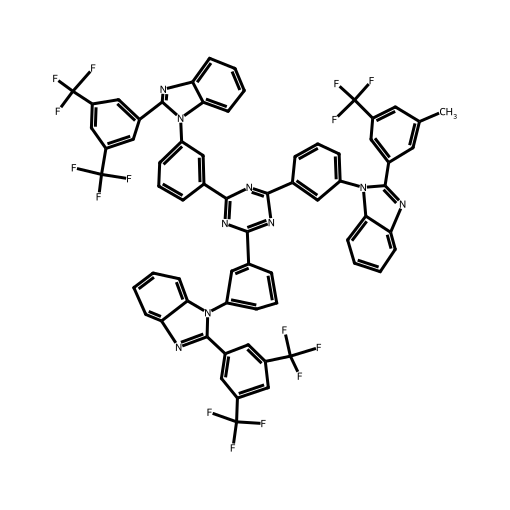 Cc1cc(-c2nc3ccccc3n2-c2cccc(-c3nc(-c4cccc(-n5c(-c6cc(C(F)(F)F)cc(C(F)(F)F)c6)nc6ccccc65)c4)nc(-c4cccc(-n5c(-c6cc(C(F)(F)F)cc(C(F)(F)F)c6)nc6ccccc65)c4)n3)c2)cc(C(F)(F)F)c1